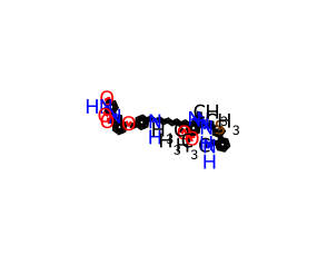 CNCc1ccccc1-c1csc(C(C)Nc2nc(C)nc3c(CCCCCCCNCc4ccc(COc5cccc6c5CN(C5CCC(=O)NC5=O)C6=O)cc4)c(OC)c(OC)cc23)c1